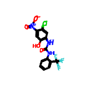 O=C(Nc1cc(Cl)c([N+](=O)[O-])cc1O)Nc1ccccc1C(F)(F)F